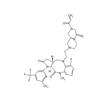 C=CC(=O)N1CC(=O)N2CCN(CCN3C[C@H]4CC(=O)N(c5cc(C(F)(F)F)cc(C)n5)[C@@H]4C(=O)N(C)c4cccc(F)c43)CC2C1